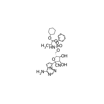 C[C@H](N[P@](=O)(OC[C@H]1O[C@@](C#N)(c2ccc3c(N)ncnn23)[C@H](O)[C@@H]1O)Oc1ccccc1)C(=O)OC1CCCCC1